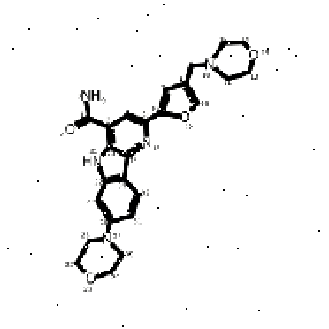 NC(=O)c1cc(-c2cc(CN3CCOCC3)co2)nc2c1[nH]c1cc(N3CCOCC3)ccc12